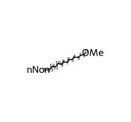 [CH2]OCCCCCCCCCCCCCCCCCCCCCC